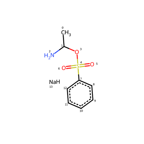 CC(N)OS(=O)(=O)c1ccccc1.[NaH]